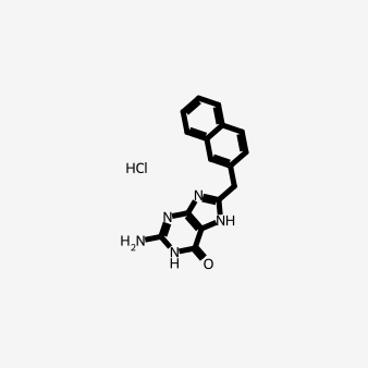 Cl.Nc1nc2nc(Cc3ccc4ccccc4c3)[nH]c2c(=O)[nH]1